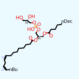 CCCC/C=C\C/C=C\CCCCCCCC(=O)O[C@H](COC(=O)CCCCCCCCCCCCCC)COP(=O)(O)OC[C@@H](O)CO